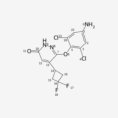 Nc1cc(Cl)c(Oc2n[nH]c(=O)cc2C2CC(F)(F)C2)c(Cl)c1